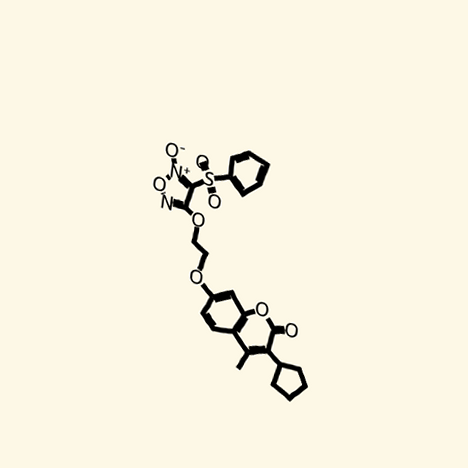 Cc1c(C2CCCC2)c(=O)oc2cc(OCCOc3no[n+]([O-])c3S(=O)(=O)c3ccccc3)ccc12